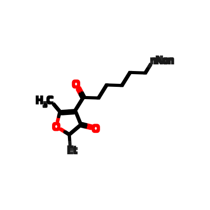 CCCCCCCCCCCCCCC(=O)C1=C(C)OC(CC)C1=O